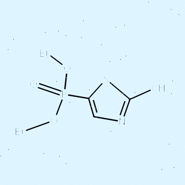 CCOP(=O)(OCC)c1cnc(C)s1